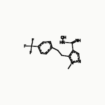 Cn1ncc(C(=N)NO)c1CCc1ccc(C(F)(F)F)cc1